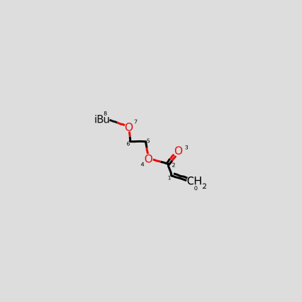 C=CC(=O)OCCOC(C)CC